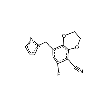 N#Cc1c(F)cc(Cn2cccn2)c2c1OCCO2